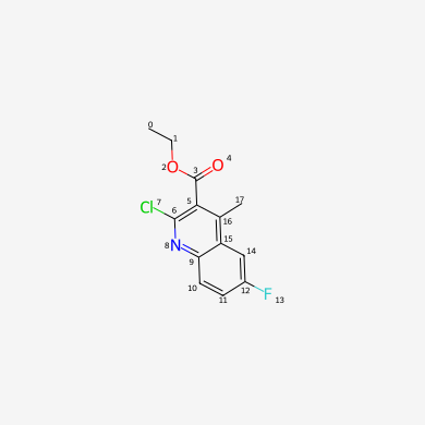 CCOC(=O)c1c(Cl)nc2ccc(F)cc2c1C